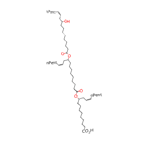 CCCCC/C=C\CC(O)CCCCCCCCC(=O)OC(C/C=C\CCCCC)CCCCCCCCC(=O)OC(C/C=C\CCCCC)CCCCCCCCC(=O)O